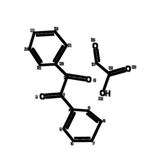 O=C(C(=O)c1ccccc1)c1ccccc1.O=CC(=O)O